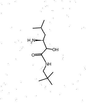 CC(C)C[C@H](N)C(O)C(=O)NCC(C)(C)C